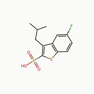 CC(C)Cc1c(S(=O)(=O)O)sc2ccc(F)cc12